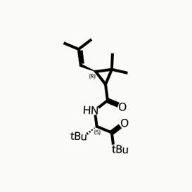 CC(C)=C[C@@H]1C(C(=O)N[C@H](C(=O)C(C)(C)C)C(C)(C)C)C1(C)C